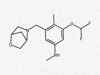 CNc1cc(CN2CC3CC2CO3)c(C)c(OC(F)F)c1